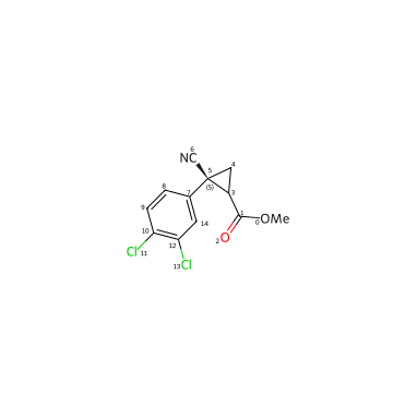 COC(=O)C1C[C@@]1(C#N)c1ccc(Cl)c(Cl)c1